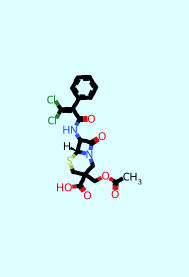 CC(=O)OCC1(C(=O)O)CS[C@@H]2C(NC(=O)C(=C(Cl)Cl)c3ccccc3)C(=O)N2C1